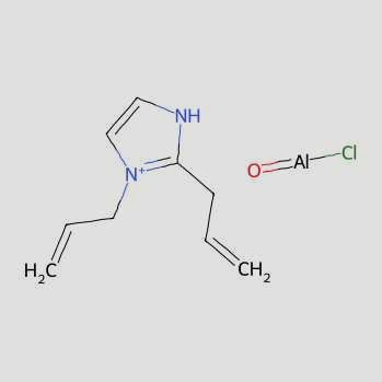 C=CCc1[nH]cc[n+]1CC=C.[O]=[Al][Cl]